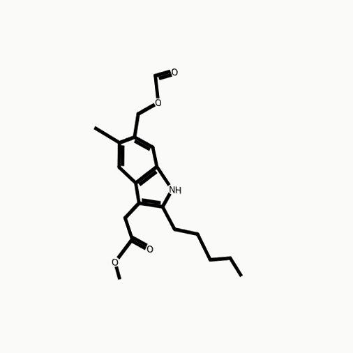 CCCCCc1[nH]c2cc(COC=O)c(C)cc2c1CC(=O)OC